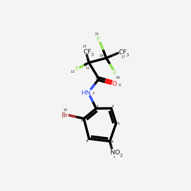 O=C(Nc1ccc([N+](=O)[O-])cc1Br)C(F)(C(F)(F)F)C(F)(F)C(F)(F)F